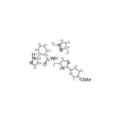 COc1ccc(-c2nc(CNC(=O)c3ccccc3-c3ccn[nH]3)cs2)cc1.Cc1ccn(C)n1